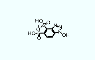 O=S(=O)(O)c1ccc2c(nnn2O)c1S(=O)(=O)O